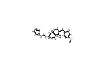 COc1ccc(/C=C2/CCc3cc(OCCn4ccnc4)ccc3C2=O)cc1